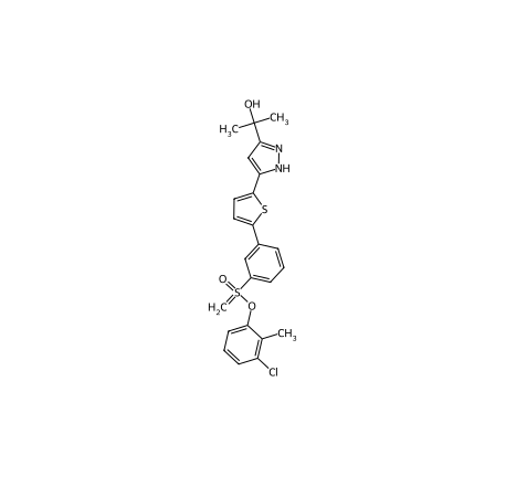 C=S(=O)(Oc1cccc(Cl)c1C)c1cccc(-c2ccc(-c3cc(C(C)(C)O)n[nH]3)s2)c1